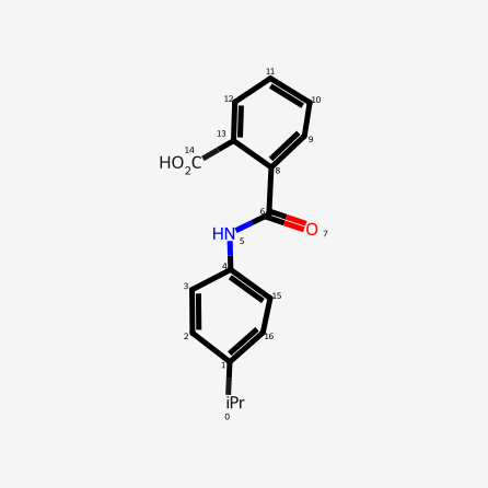 CC(C)c1ccc(NC(=O)c2ccccc2C(=O)O)cc1